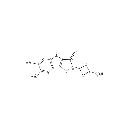 COc1cc2sc3c(c2cc1OC)CN(C1CC(C(=O)O)C1)C3=O